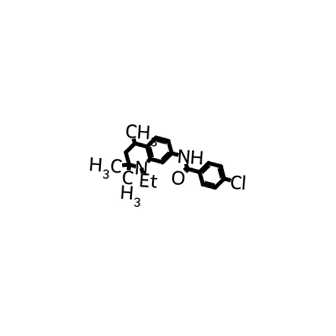 CCN1c2cc(NC(=O)c3ccc(Cl)cc3)ccc2C(C)CC1(C)C